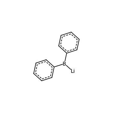 [Li][B](c1ccccc1)c1ccccc1